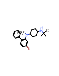 CCC(C)(C)NC1CCC(N(C(=O)O)c2cc(Br)ccc2-c2ccccc2)CC1